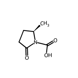 C[C@@H]1CCC(=O)N1C(=O)O